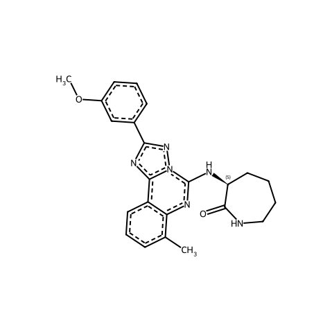 COc1cccc(-c2nc3c4cccc(C)c4nc(N[C@H]4CCCCNC4=O)n3n2)c1